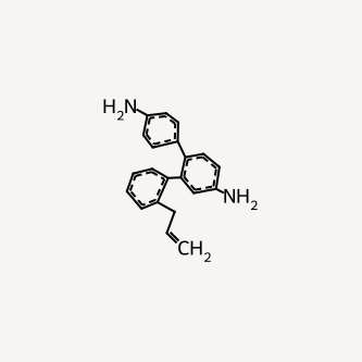 C=CCc1ccccc1-c1cc(N)ccc1-c1ccc(N)cc1